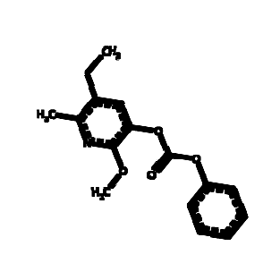 CCc1cc(OC(=O)Oc2ccccc2)c(OC)nc1C